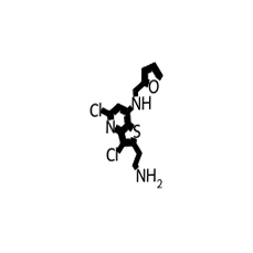 NCCc1sc2c(NCc3ccco3)cc(Cl)nc2c1Cl